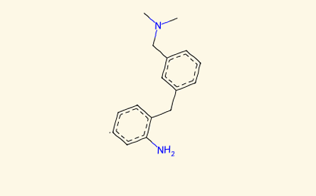 CN(C)Cc1cccc(Cc2cc[c]cc2N)c1